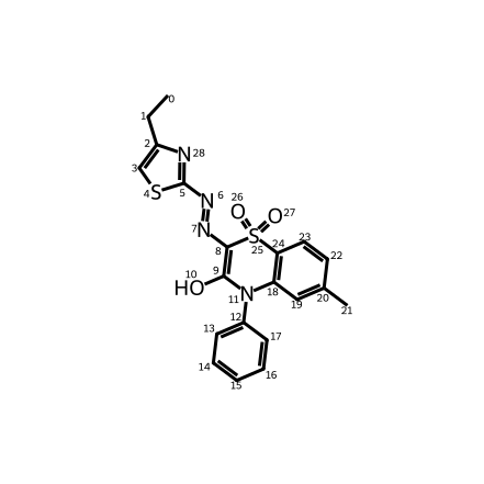 CCc1csc(N=NC2=C(O)N(c3ccccc3)c3cc(C)ccc3S2(=O)=O)n1